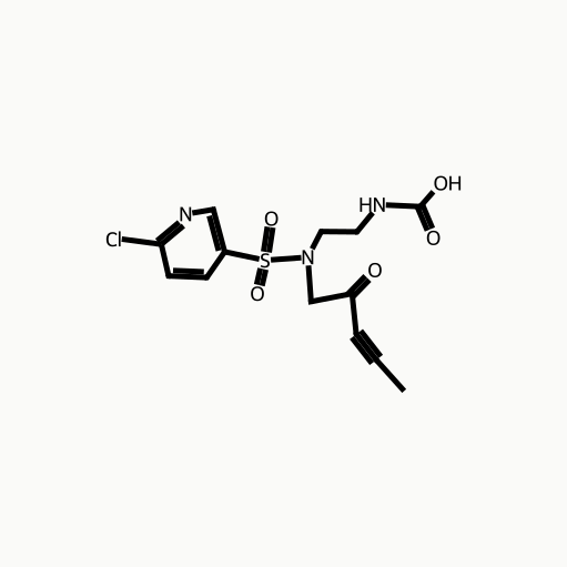 CC#CC(=O)CN(CCNC(=O)O)S(=O)(=O)c1ccc(Cl)nc1